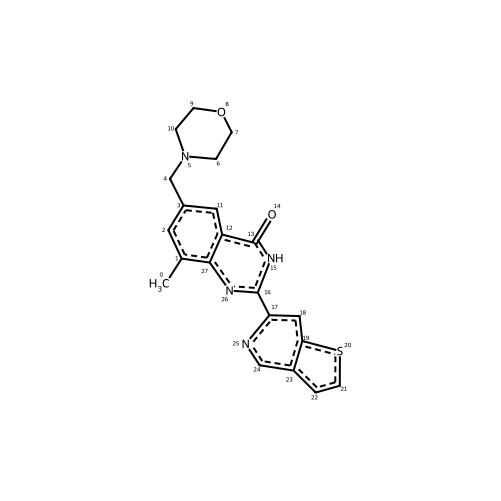 Cc1cc(CN2CCOCC2)cc2c(=O)[nH]c(-c3cc4sccc4cn3)nc12